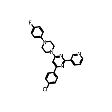 Fc1ccc(N2CCN(c3cc(-c4ccc(Cl)cc4)nc(-c4cccnc4)n3)CC2)cc1